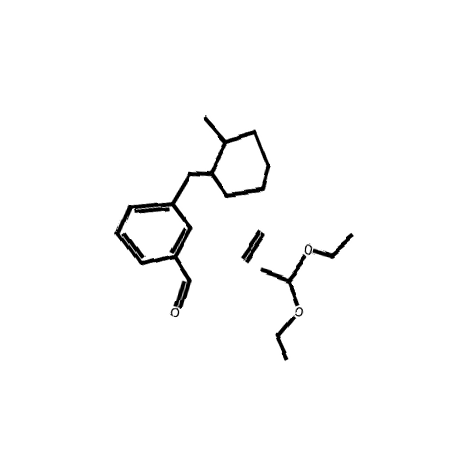 C=C.CC1CCCCC1Cc1cccc(C=O)c1.CCOC(C)OCC